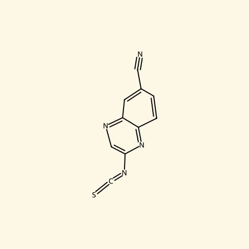 N#Cc1ccc2nc(N=C=S)cnc2c1